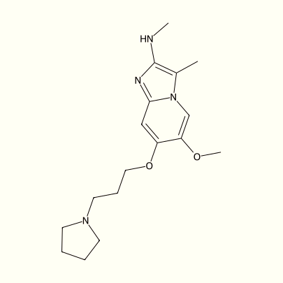 CNc1nc2cc(OCCCN3CCCC3)c(OC)cn2c1C